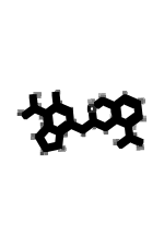 Cc1cc(CC2Cc3c(cccc3C(C)C)CO2)c2c(c1C(C)C)CCC2